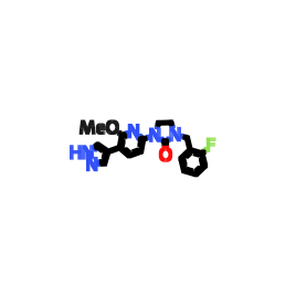 COc1nc(N2CCN(Cc3ccccc3F)C2=O)ccc1-c1cn[nH]c1